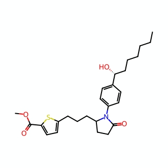 CCCCCC[C@@H](O)c1ccc(N2C(=O)CCC2CCCc2ccc(C(=O)OC)s2)cc1